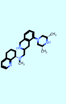 C[C@@H]1CN(c2cccc3c2CC(CN(C)[C@H]2CCCc4cccnc42)NC3)C[C@H](C)N1